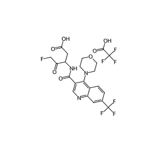 O=C(O)C(F)(F)F.O=C(O)CC(NC(=O)c1cnc2cc(C(F)(F)F)ccc2c1N1CCOCC1)C(=O)CF